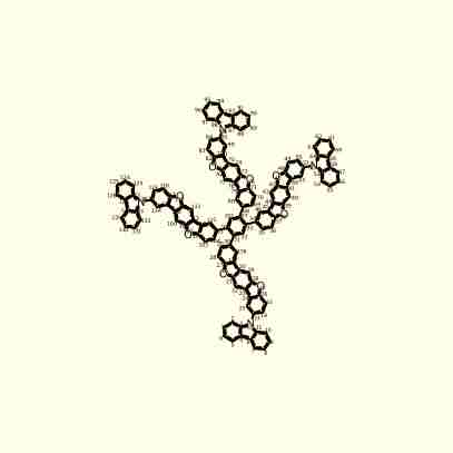 c1ccc2c(c1)c1ccccc1n2-c1ccc2oc3cc4c(cc3c2c1)oc1ccc(-c2cc(-c3ccc5oc6cc7c(cc6c5c3)oc3ccc(-n5c6ccccc6c6ccccc65)cc37)c(-c3ccc5oc6cc7c(cc6c5c3)oc3ccc(-n5c6ccccc6c6ccccc65)cc37)cc2-c2ccc3oc5cc6c(cc5c3c2)oc2ccc(-n3c5ccccc5c5ccccc53)cc26)cc14